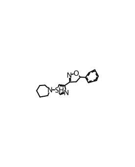 C1=NC(C2=NOC(c3ccccc3)C2)=C[SH]1N1CCCCC1